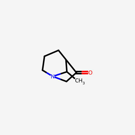 CC1C2CCCN1CC2=O